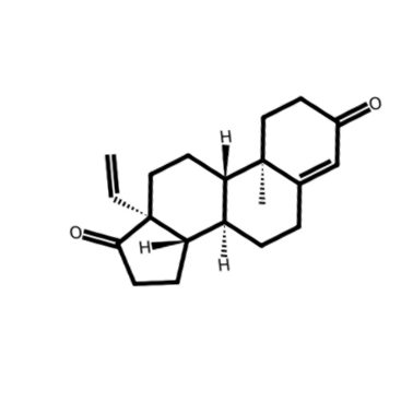 C=C[C@]12CC[C@H]3[C@@H](CCC4=CC(=O)CC[C@@]43C)[C@@H]1CCC2=O